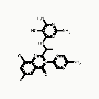 CC(Nc1nc(N)nc(N)c1C#N)c1nc2c(Cl)cc(F)cc2c(=O)n1-c1cnc(N)cn1